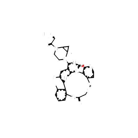 C=CC(=O)N1CCN(c2nc(=O)n3c4nc(c(F)cc24)-c2c(F)cccc2NC(=O)CCSc2ccnc(C(C)C)c2-3)[C@@H]2CC21